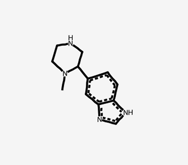 CN1CCNCC1c1ccc2[nH]cnc2c1